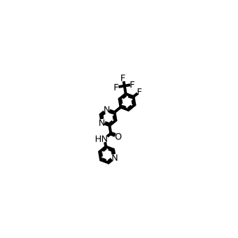 O=C(Nc1cccnc1)c1cc(-c2ccc(F)c(C(F)(F)F)c2)ncn1